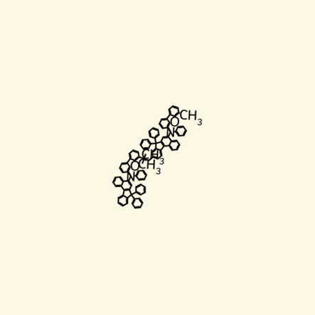 Cc1cccc2c1oc1c(N(c3ccccc3)c3cc4c(c5ccccc35)-c3ccc(CC(C)(C)c5cccc6c5oc5c(N(c7ccccc7)c7cc8c(c9ccccc79)-c7ccccc7C8(c7ccccc7)c7ccccc7)cccc56)cc3C4(c3ccccc3)c3ccccc3)cccc12